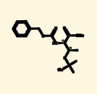 COC(=O)[C@@H](NC(=O)OCc1ccccc1)[C@@H](C)O[Si](C)(C)C(C)(C)C